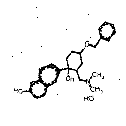 CN(C)CC1CC(OCc2ccccc2)CCC1(O)c1ccc2cc(O)ccc2c1.Cl